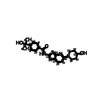 CC(C)(O)c1ccc(C(=O)Nc2nc3ccc(N4CCC(O)CC4)nc3s2)cc1